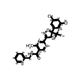 Cc1nc(C2=NOC(c3cc(Cl)cc(Cl)c3)(C(F)(F)F)C2)ncc1C(=O)NCc1ccccn1